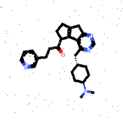 CN(C)[C@H]1CC[C@H](Cc2ncnc3c2C2=C(CCC2C(=O)CCc2cccnc2)C3)CC1